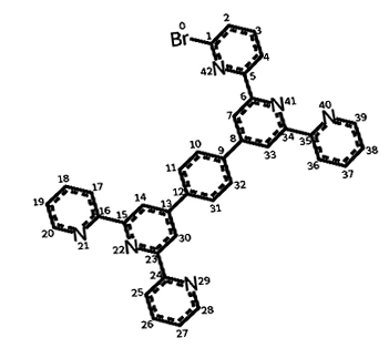 Brc1cccc(-c2cc(-c3ccc(-c4cc(-c5ccccn5)nc(-c5ccccn5)c4)cc3)cc(-c3ccccn3)n2)n1